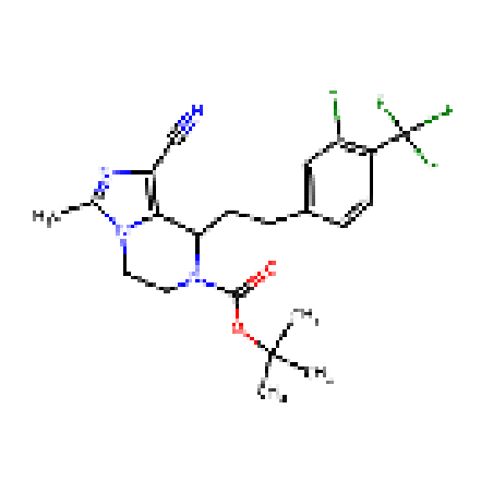 Cc1nc(C#N)c2n1CCN(C(=O)OC(C)(C)C)C2CCc1ccc(C(F)(F)F)c(F)c1